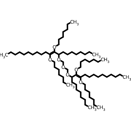 CCCCCCCCCCC(OCCCCCCC)=C(OCCCCCCC)C(CCCCCCCC)OCOCOC(CCCCCCCC)C(OCCCCCCC)=C(CCCCCCCCCC)OCCCCCCC